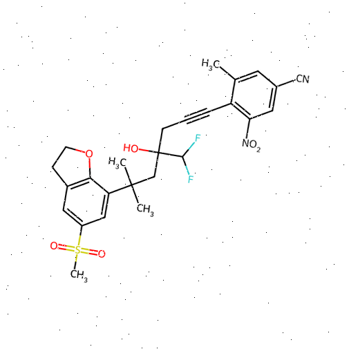 Cc1cc(C#N)cc([N+](=O)[O-])c1C#CCC(O)(CC(C)(C)c1cc(S(C)(=O)=O)cc2c1OCC2)C(F)F